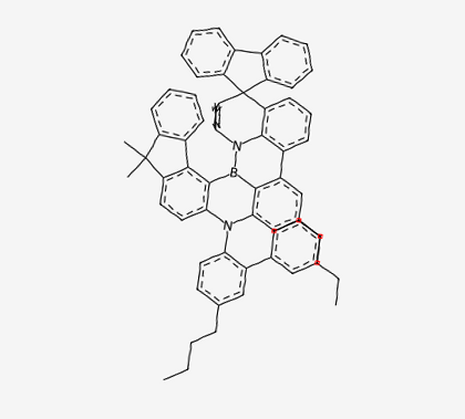 CCCCc1ccc(N2c3cc(CCCC)cc4c3B(c3c2ccc2c3-c3ccccc3C2(C)C)N2c3ccccc3C3(c5ccccc5-c5ccccc53)c3cccc-4c32)c(-c2ccccc2)c1